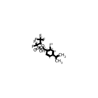 C=C(C)c1ccc(COC(C(F)(F)F)C(F)(F)S(=O)(=O)O)c(I)c1